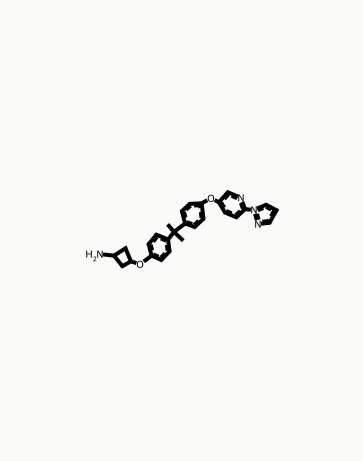 CC(C)(c1ccc(Oc2ccc(-n3cccn3)nc2)cc1)c1ccc(OC2CC(N)C2)cc1